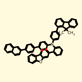 CC1(C)c2ccccc2-c2cccc(-c3ccc(N(c4ccc(-c5ccc(-c6ccc7ccccc7c6)cc5)cc4)c4ccccc4-c4ccc5c(c4)oc4ccccc45)cc3)c21